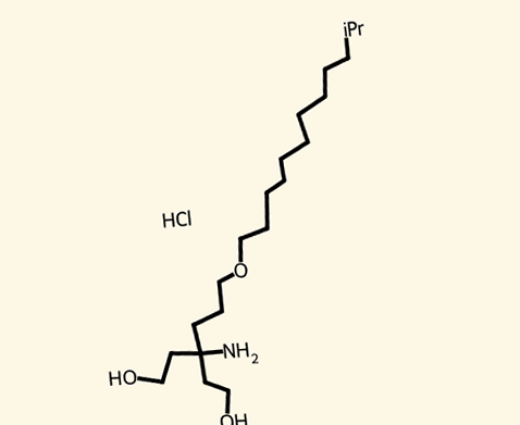 CC(C)CCCCCCCCCCOCCCC(N)(CCO)CCO.Cl